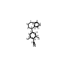 Cc1cc(C2CCCn3cncc32)cc(C)c1C#N